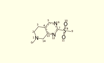 CN1CCc2cnc(S(C)(=O)=O)nc2C1